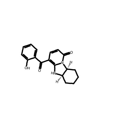 O=C(c1ccccc1O)c1ccc(=O)n2c1N[C@@H]1CCCC[C@@H]12